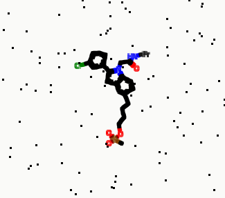 CC(C)NC(=O)Cn1c(-c2cccc(Cl)c2)cc2cc(CCCCOS(C)(=O)=O)ccc21